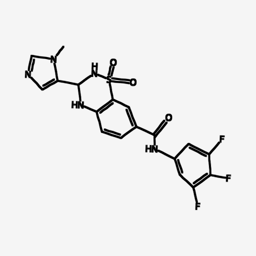 Cn1cncc1C1Nc2ccc(C(=O)Nc3cc(F)c(F)c(F)c3)cc2S(=O)(=O)N1